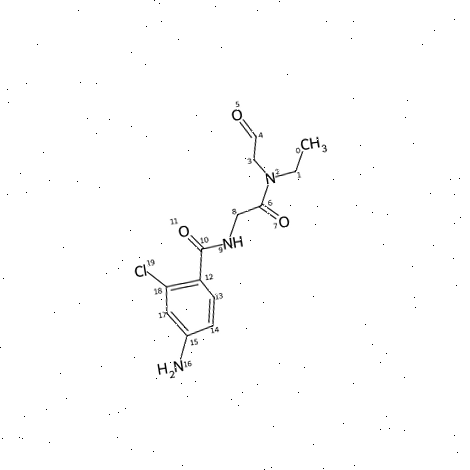 CCN(CC=O)C(=O)CNC(=O)c1ccc(N)cc1Cl